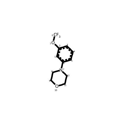 FC(F)(F)Oc1[c]ccc(N2CCOCC2)c1